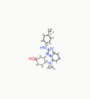 CN(c1cccc2nc(Nc3ccc(C(F)(F)F)cc3)nn12)C1CCC(O)CC1